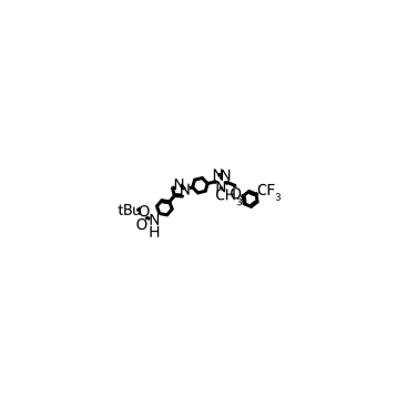 Cn1c(COc2cccc(C(F)(F)F)c2)nnc1C1CCC(n2cc(C3=CCC(NC(=O)OC(C)(C)C)CC3)cn2)CC1